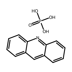 O=P(O)(O)O.c1ccc2nc3ccccc3cc2c1